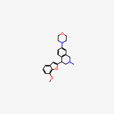 COc1cccc2cc(C3CN(C)Cc4cc(N5CCOCC5)ccc43)oc12